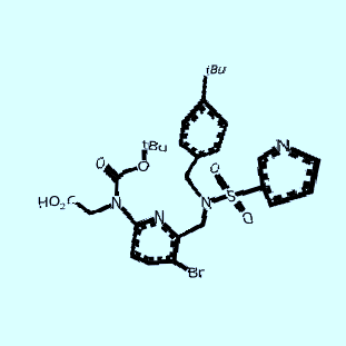 CC(C)(C)OC(=O)N(CC(=O)O)c1ccc(Br)c(CN(Cc2ccc(C(C)(C)C)cc2)S(=O)(=O)c2cccnc2)n1